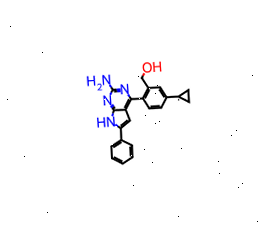 Nc1nc(-c2ccc([C]3CC3)cc2CO)c2cc(-c3ccccc3)[nH]c2n1